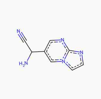 N#CC(N)c1cnc2nccn2c1